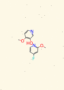 COc1cc(F)ccn1.COc1ccncc1O